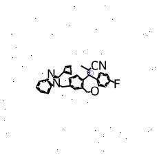 C/C(C#N)=C1\c2ccc(Cn3c(C4=CC=C4)nc4ccccc43)cc2COc2cc(F)ccc21